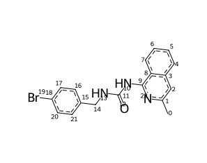 Cc1cc2ccccc2c(NC(=O)NCc2ccc(Br)cc2)n1